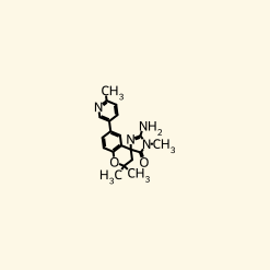 Cc1ccc(-c2ccc3c(c2)C2(CC(C)(C)O3)N=C(N)N(C)C2=O)cn1